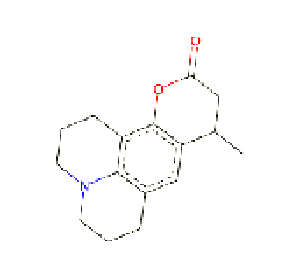 CC1CC(=O)Oc2c1cc1c3c2CCCN3CCC1